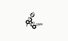 COc1cccc(CN2C(=O)/C(=C/C(=O)N3CCOCC3)c3cccc(F)c32)c1